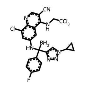 BC(Nc1cc(Cl)c2ncc(C#N)c(NCC(Cl)(Cl)Cl)c2c1)(c1ccc(F)cc1)c1cn(C2CC2)nn1